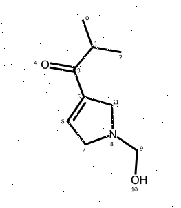 CC(C)C(=O)C1=CCN(CO)C1